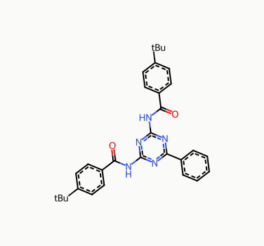 CC(C)(C)c1ccc(C(=O)Nc2nc(NC(=O)c3ccc(C(C)(C)C)cc3)nc(-c3ccccc3)n2)cc1